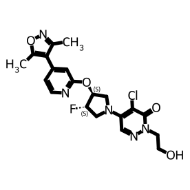 Cc1noc(C)c1-c1ccnc(O[C@H]2CN(c3cnn(CCO)c(=O)c3Cl)C[C@@H]2F)c1